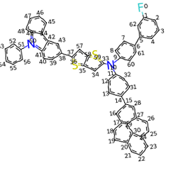 Fc1cccc(-c2ccc(N(c3ccc(-c4cc5ccc6cccc7ccc(c4)c5c67)cc3)c3cc4sc(-c5ccc6c(c5)c5ccccc5n6-c5ccccc5)cc4s3)cc2)c1